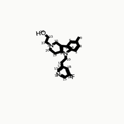 Cc1ccc2c(c1)c1c(n2CCc2cncc(F)c2)CCN(CCO)C1